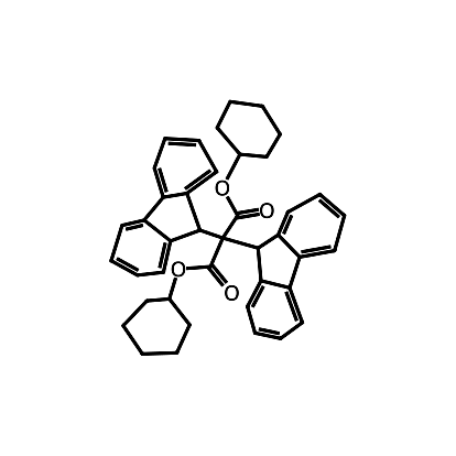 O=C(OC1CCCCC1)C(C(=O)OC1CCCCC1)(C1c2ccccc2-c2ccccc21)C1c2ccccc2-c2ccccc21